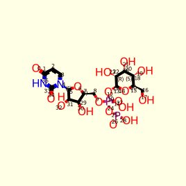 O=c1ccn([C@H]2O[C@@H](COP(=O)(O[C@@H]3O[C@H](CO)[C@@H](O)[C@@H](O)[C@H]3O)OP(=O)(O)O)C(O)C2O)c(=O)[nH]1